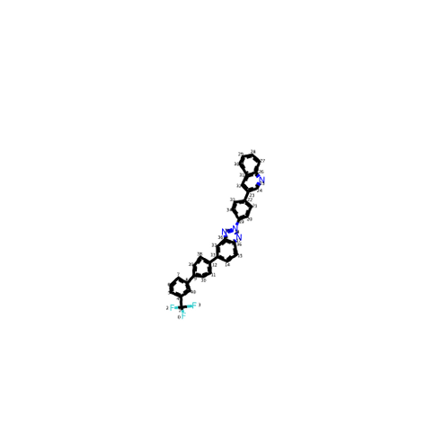 FC(F)(F)c1cccc(-c2ccc(-c3ccc4nn(-c5ccc(-c6cnc7ccccc7c6)cc5)nc4c3)cc2)c1